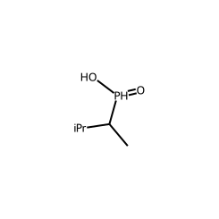 CC(C)C(C)[PH](=O)O